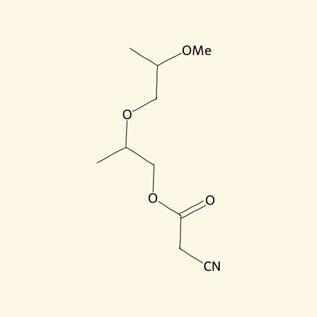 COC(C)COC(C)COC(=O)CC#N